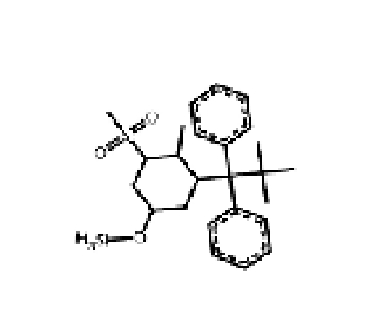 CC1C(C(c2ccccc2)(c2ccccc2)C(C)(C)C)C[C](O[SiH3])CC1S(C)(=O)=O